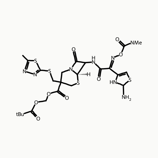 CNC(=O)ON=C(C(=O)NC1C(=O)N2CC(CSc3nnc(C)s3)(C(=O)OCOC(=O)C(C)(C)C)CS[C@H]12)C1=CSC(N)N1